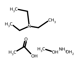 CC(=O)O.CCN(CC)CC.CO.N.O